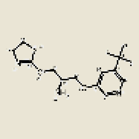 CC(C)(C)c1cncc(OC[C@@H](N)COC2=NCCS2)c1